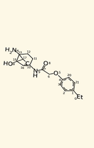 CCc1ccc(OCC(=O)NC23CCC(N)(CC2)C(O)C3)cc1